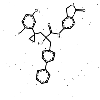 O=C1OCc2cc(NC(=O)[C@](O)(Cc3ccc(-c4ccccc4)cc3)CC3(c4cc(C(F)(F)F)ccc4F)CC3)ccc21